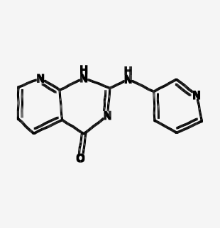 O=c1nc(Nc2cccnc2)[nH]c2ncccc12